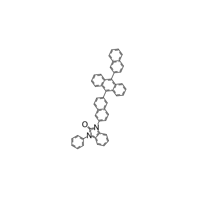 O=c1n(-c2ccccc2)c2ccccc2n1-c1ccc2cc(-c3c4ccccc4c(-c4ccc5ccccc5c4)c4ccccc34)ccc2c1